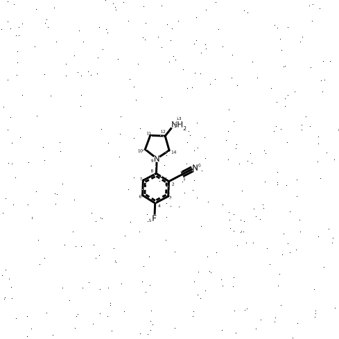 N#Cc1cc(F)ccc1N1CCC(N)C1